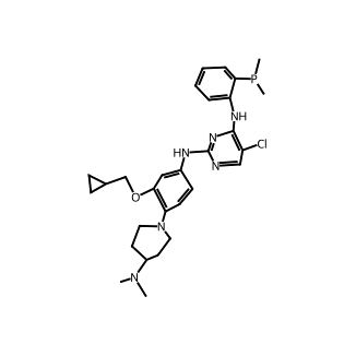 CN(C)C1CCN(c2ccc(Nc3ncc(Cl)c(Nc4ccccc4P(C)C)n3)cc2OCC2CC2)CC1